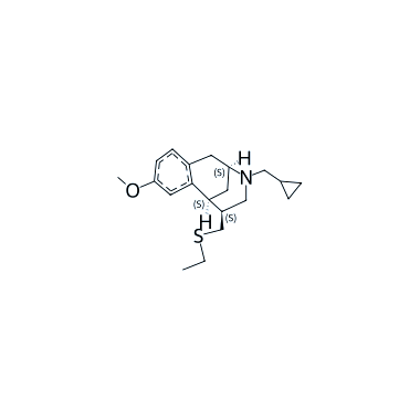 CCSC[C@@H]1CN(CC2CC2)[C@@H]2Cc3ccc(OC)cc3[C@H]1C2